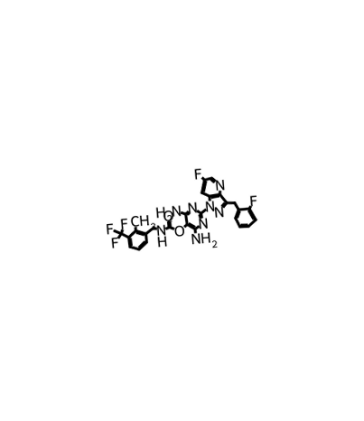 Cc1c(CNC(=O)Oc2c(N)nc(-n3nc(Cc4ccccc4F)c4ncc(F)cc43)nc2N)cccc1C(F)(F)F